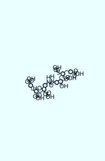 O=C(Nc1ccc2c(O)c(Cc3ccc(Cc4ccc(S(=O)(=O)O)cc4)cc3S(=O)(=O)O)c(OS(=O)O)cc2c1)Nc1ccc2c(O)cc(SOOO)c(Cc3ccc(Cc4ccc(S(=O)(=O)O)cc4)cc3SOOO)c2c1